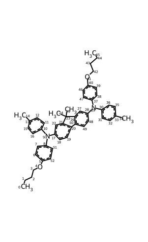 CCCCOc1ccc(N(c2ccc(C)cc2)c2ccc3c(c2)C(C)(C)c2cc(N(c4ccc(C)cc4)c4ccc(OCCCC)cc4)ccc2-3)cc1